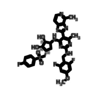 COc1cc(F)c(CNc2nc(C)c(-c3nc4c(C)nccc4s3)c(NC3C[C@H](CS(=O)(=O)c4ccc(F)cc4)[C@@H](O)[C@H]3O)n2)c(F)c1